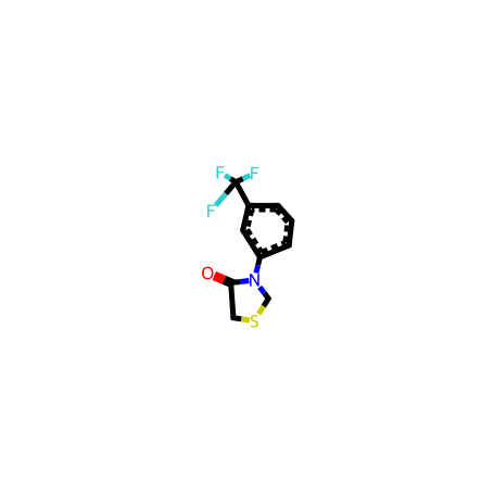 O=C1CSCN1c1cccc(C(F)(F)F)c1